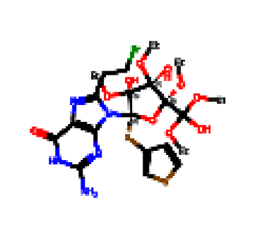 CCOC(O)(OCC)[C@@]1(OCC)O[C@@](Sc2ccsc2)(n2c(CCBr)nc3c(=O)[nH]c(N)nc32)[C@@](O)(OCC)[C@@]1(O)OCC